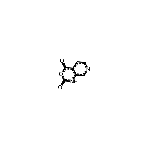 O=c1[nH]c2cnccc2c(=O)o1